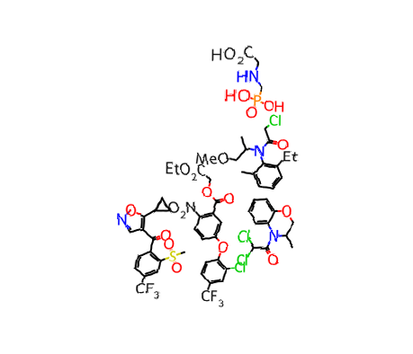 CC1COc2ccccc2N1C(=O)C(Cl)Cl.CCOC(=O)COC(=O)c1cc(Oc2ccc(C(F)(F)F)cc2Cl)ccc1[N+](=O)[O-].CCc1cccc(C)c1N(C(=O)CCl)C(C)COC.CS(=O)(=O)c1cc(C(F)(F)F)ccc1C(=O)c1cnoc1C1CC1.O=C(O)CNCP(=O)(O)O